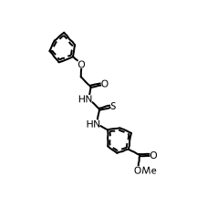 COC(=O)c1ccc(NC(=S)NC(=O)COc2ccccc2)cc1